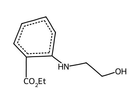 CCOC(=O)c1ccccc1NCCO